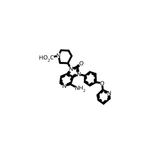 Nc1nccc2c1n(-c1ccc(Oc3ccccn3)cc1)c(=O)n2C1CCCN(C(=O)O)C1